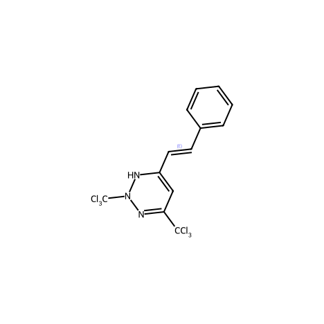 ClC(Cl)(Cl)C1=NN(C(Cl)(Cl)Cl)NC(/C=C/c2ccccc2)=C1